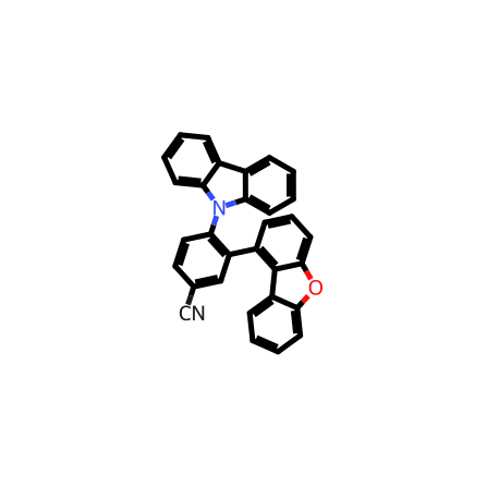 N#Cc1ccc(-n2c3ccccc3c3ccccc32)c(-c2cccc3oc4ccccc4c23)c1